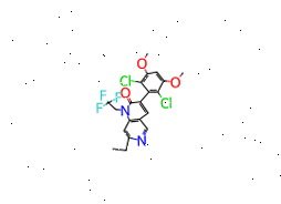 CCc1cc2c(cn1)cc(-c1c(Cl)c(OC)cc(OC)c1Cl)c(=O)n2CC(F)(F)F